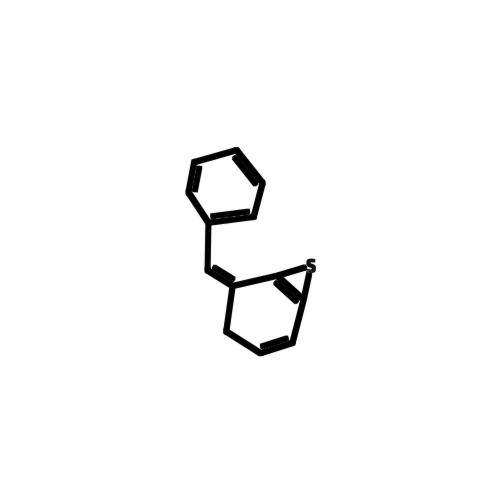 C1=CC2=C(S2)C(=Cc2ccccc2)C1